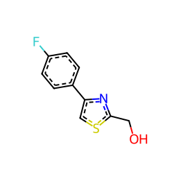 OCc1nc(-c2ccc(F)cc2)cs1